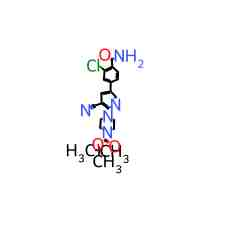 CC(C)(C)OC(=O)N1CCN(c2ncc(-c3ccc(C(N)=O)c(Cl)c3)cc2C#N)CC1